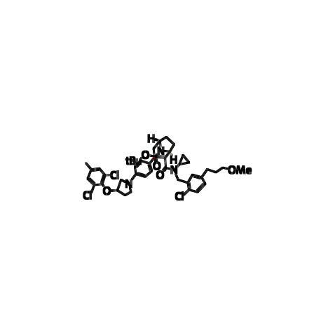 COCCCc1ccc(Cl)c(CN(C(=O)C2=C(c3ccc(N4CC[C@@H](Oc5c(Cl)cc(C)cc5Cl)C4)cc3)C[C@@H]3CC[C@@H]2N3C(=O)OC(C)(C)C)C2CC2)c1